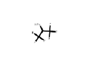 FC(F)(F)[CH]([PoH])C(F)(F)F